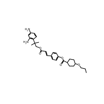 CCCOC1CCC(C(=O)Oc2ccc(/C=C/C(=O)OCC(C)(C)c3ccc(N)cc3N)cc2)CC1